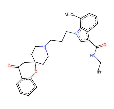 COc1cccc2c(C(=O)NCC(C)C)cn(CCCN3CCC4(CC3)CC(=O)c3ccccc3O4)c12